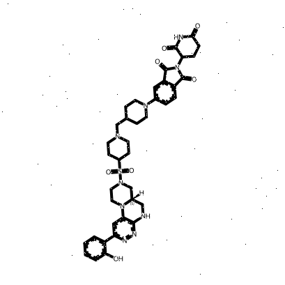 O=C1CCC(N2C(=O)c3ccc(N4CCC(CN5CCC(S(=O)(=O)N6CCN7c8cc(-c9ccccc9O)nnc8NC[C@H]7C6)CC5)CC4)cc3C2=O)C(=O)N1